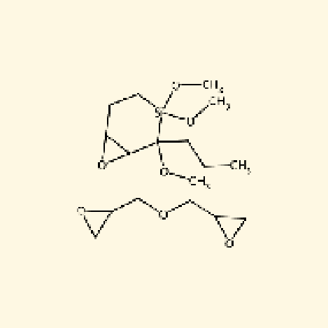 C(OCC1CO1)C1CO1.CCCC1(OC)C2OC2CC[Si]1(OC)OC